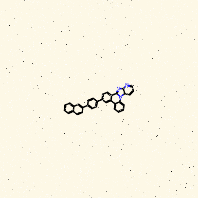 C1=CC2C(N=C1)N=C1c3ccc(-c4ccc(-c5ccc6ccccc6c5)cc4)cc3-c3ccccc3N12